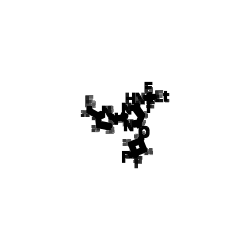 CCC(F)(F)Nc1cc(OC2CC(F)(F)C2)nc(-n2ccc(CF)n2)n1